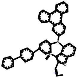 C=Nc1c(/C=C\C)oc2cccc(N(c3ccc(-c4ccc(-c5ccccc5)cc4)cc3)c3ccc4c5ccccc5c5ccccc5c4c3)c12